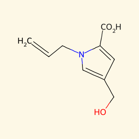 C=CCn1cc(CO)cc1C(=O)O